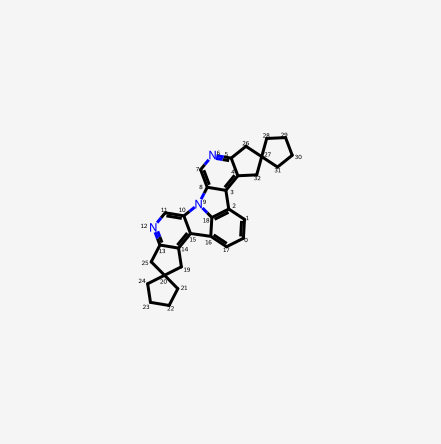 c1cc2c3c4c(ncc3n3c5cnc6c(c5c(c1)c23)CC1(CCCC1)C6)CC1(CCCC1)C4